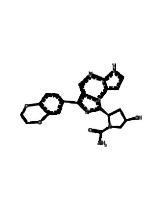 NC(=O)N1C[C@H](O)C[C@@H]1c1nc(-c2ccc3c(c2)OCCO3)c2cnc3[nH]ccc3n12